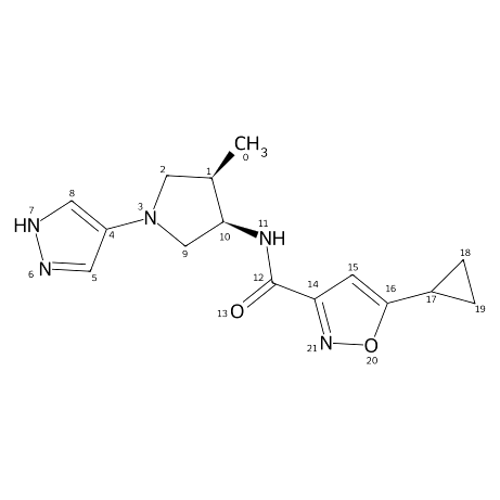 C[C@@H]1CN(c2cn[nH]c2)C[C@@H]1NC(=O)c1cc(C2CC2)on1